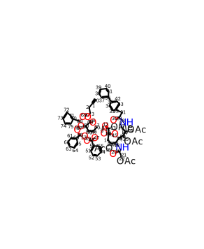 C#CCCO[C@@H]1O[C@H](CO[C@]2(C(=O)OC)C[C@H](OC(C)=O)[C@@H](NC(=O)COC(C)=O)[C@H]([C@H](OC(C)=O)[C@@H](CNC(=O)Cc3ccc(-c4ccccc4)cc3)OC(C)=O)O2)[C@H](OC(=O)c2ccccc2)[C@H](OC(=O)c2ccccc2)[C@H]1OC(=O)c1ccccc1